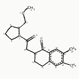 COCC1CCCN1C(=O)CC1CCc2cc(C)c(C)cc2C1=O